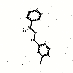 O[C@@H](CNc1cc(Cl)ncn1)c1ccccc1